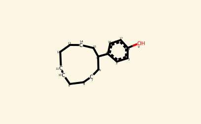 Oc1ccc(C2CCCCCCCCCC2)cc1